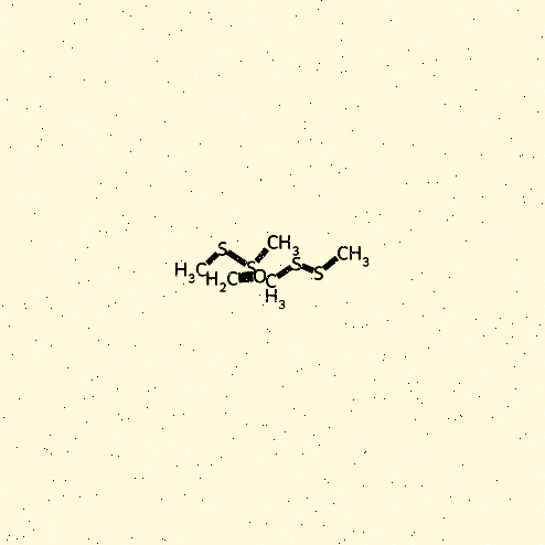 C=O.CSSC.CSSC